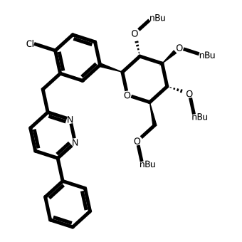 CCCCOC[C@H]1O[C@@H](c2ccc(Cl)c(Cc3ccc(-c4ccccc4)nn3)c2)[C@H](OCCCC)[C@@H](OCCCC)[C@@H]1OCCCC